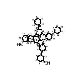 N#Cc1cccc(-c2ccc3c(c2)c2cc(-c4cccc(C#N)c4)ccc2n3-c2ccc(-c3ccccn3)cc2-c2nc(-c3ccccc3)nc(-c3ccccc3)n2)c1